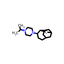 CC(C)N1CCN(C2CCC3CC4CC(C3)C2C4)CC1